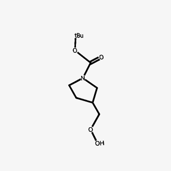 CC(C)(C)OC(=O)N1CCC(COO)C1